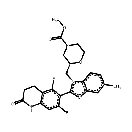 COC(=O)N1CCO[C@@H](Cn2c(-c3c(F)cc4c(c3F)CCC(=O)N4)nc3cc(C)ccc32)C1